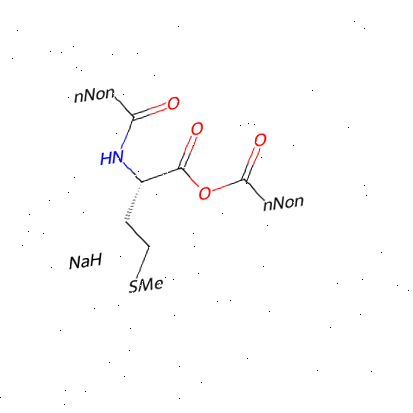 CCCCCCCCCC(=O)N[C@@H](CCSC)C(=O)OC(=O)CCCCCCCCC.[NaH]